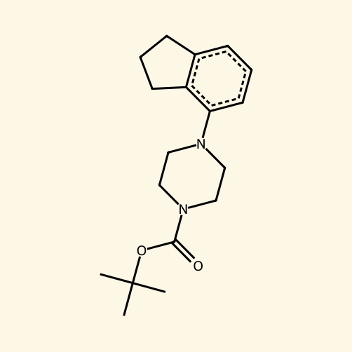 CC(C)(C)OC(=O)N1CCN(c2cccc3c2CCC3)CC1